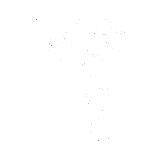 c1ccc2cc(-c3ccc4oc5cccc(-c6nc(-c7ccc8c(c7)sc7ccccc78)nc7c6sc6ccccc67)c5c4c3)ccc2c1